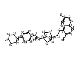 Cc1ccc2ncc(F)c(CCC34CCC(NCc5ccc(N6CCCCC6)nc5)(CC3)CO4)c2n1